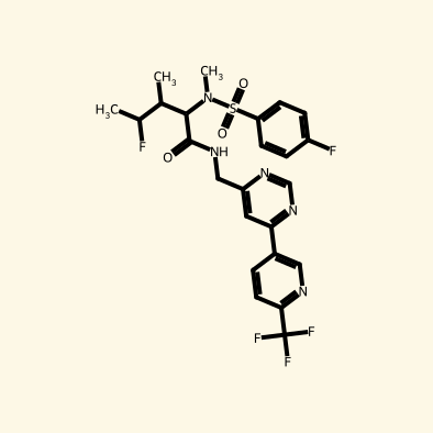 CC(F)C(C)C(C(=O)NCc1cc(-c2ccc(C(F)(F)F)nc2)ncn1)N(C)S(=O)(=O)c1ccc(F)cc1